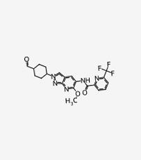 COc1nc2nn(C3CCC(C=O)CC3)cc2cc1NC(=O)c1cccc(C(F)(F)F)n1